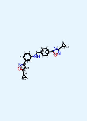 c1cc(NCC23CCC(c4nc(C5CC5)no4)(CC2)CC3)cc(-c2cc(C3CC3)on2)c1